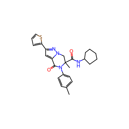 Cc1ccc(N2C(=O)c3cc(-c4cccs4)nn3CC2(C)C(=O)NC2CCCCC2)cc1